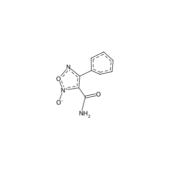 NC(=O)c1c(-c2ccccc2)no[n+]1[O-]